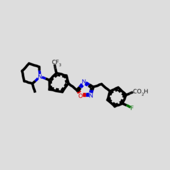 CC1CCCCN1c1ccc(-c2nc(Cc3ccc(F)c(C(=O)O)c3)no2)cc1C(F)(F)F